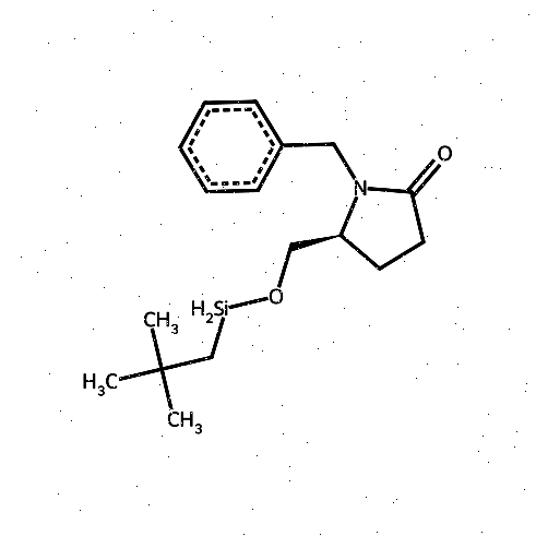 CC(C)(C)C[SiH2]OC[C@@H]1CCC(=O)N1Cc1ccccc1